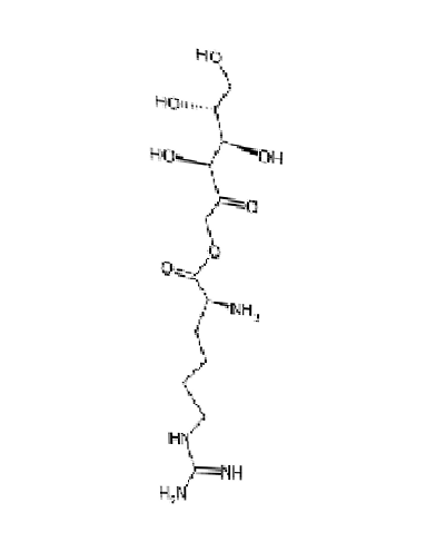 N=C(N)NCCCC[C@H](N)C(=O)OCC(=O)[C@@H](O)[C@H](O)[C@H](O)CO